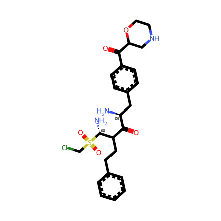 N[C@H](C(CCc1ccccc1)C(=O)[C@@H](N)Cc1ccc(C(=O)C2CNCCO2)cc1)S(=O)(=O)CCl